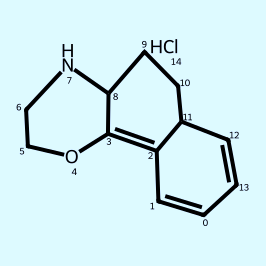 C1=CC2=C3OCCNC3CCC2C=C1.Cl